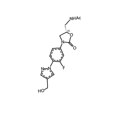 CC(=O)NC[C@H]1CN(c2ccc(-n3cc(CO)cn3)c(F)c2)C(=O)O1